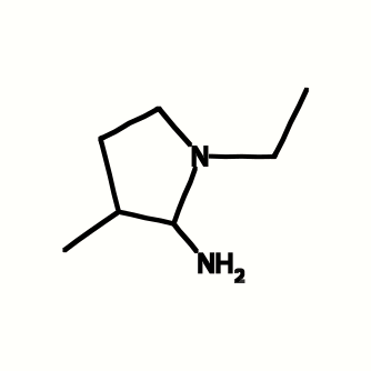 CCN1CCC(C)C1N